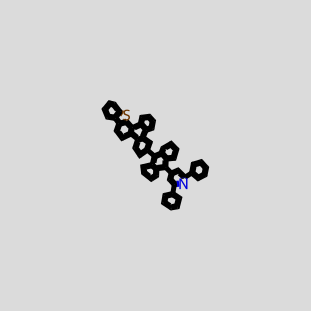 c1ccc(-c2cc(-c3c4ccccc4c(-c4ccc5c(c4)c4ccccc4c4c5ccc5c6ccccc6sc54)c4ccccc34)cc(-c3ccccc3)n2)cc1